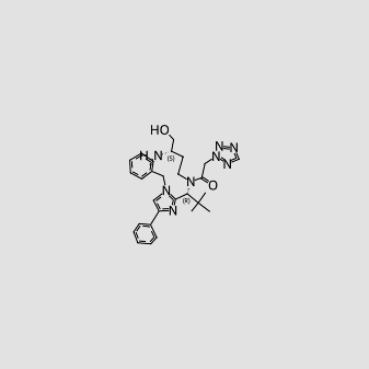 CC(C)(C)[C@H](c1nc(-c2ccccc2)cn1Cc1ccccc1)N(CC[C@H](N)CO)C(=O)Cn1ncnn1